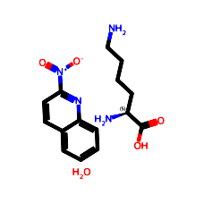 NCCCC[C@H](N)C(=O)O.O.O=[N+]([O-])c1ccc2ccccc2n1